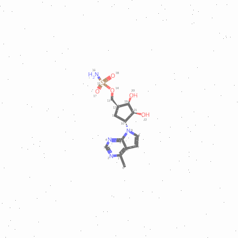 Cc1ncnc2c1ccn2[C@@H]1C[C@@H](COS(N)(=O)=O)[C@@H](O)[C@H]1O